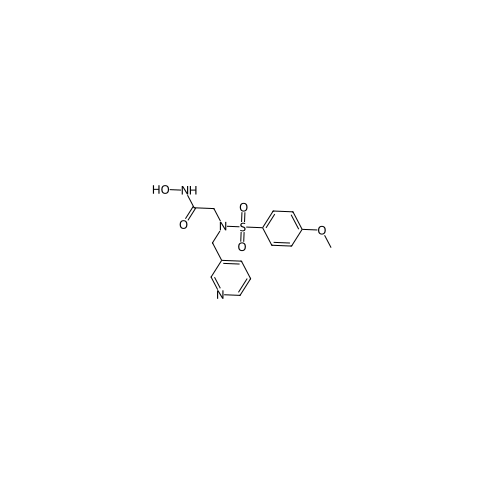 COc1ccc(S(=O)(=O)N(CC(=O)NO)Cc2cccnc2)cc1